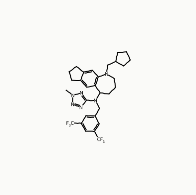 Cn1nnc(N(Cc2cc(C(F)(F)F)cc(C(F)(F)F)c2)C2CCCN(CC3CCCC3)c3cc4c(cc32)CCC4)n1